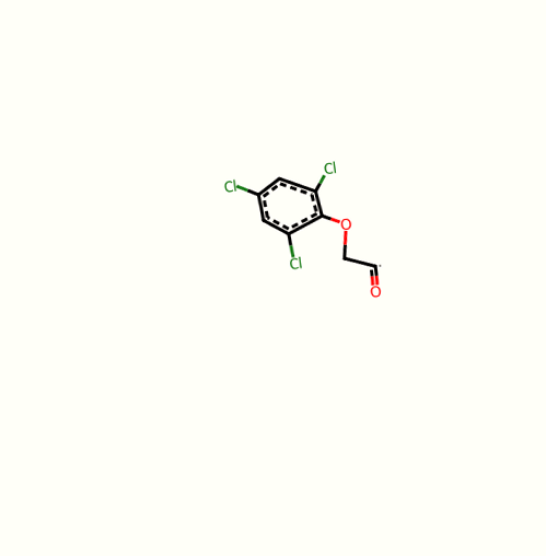 O=[C]COc1c(Cl)cc(Cl)cc1Cl